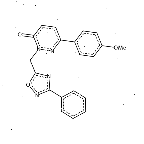 COc1ccc(-c2ccc(=O)n(Cc3nc(-c4ccccc4)no3)n2)cc1